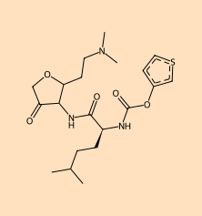 CC(C)CC[C@H](NC(=O)Oc1ccsc1)C(=O)NC1C(=O)COC1CCN(C)C